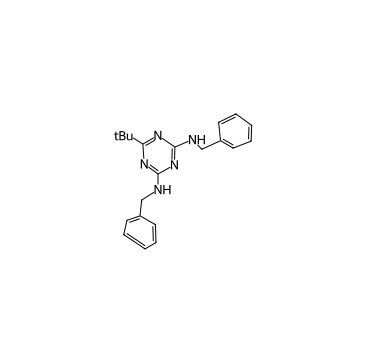 CC(C)(C)c1nc(NCc2ccccc2)nc(NCc2ccccc2)n1